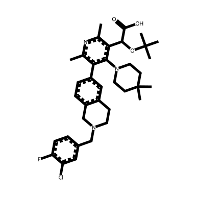 Cc1nc(C)c(C(OC(C)(C)C)C(=O)O)c(N2CCC(C)(C)CC2)c1-c1ccc2c(c1)CCN(Cc1ccc(F)c(Cl)c1)C2